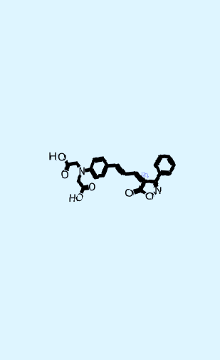 O=C(O)CN(CC(=O)O)c1ccc(C=C/C=C2\C(=O)ON=C2c2ccccc2)cc1